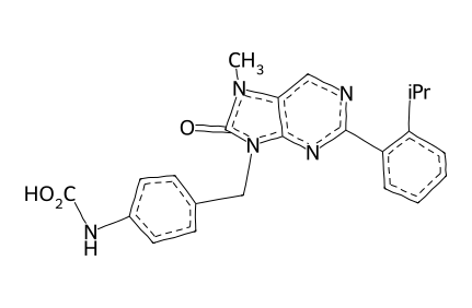 CC(C)c1ccccc1-c1ncc2c(n1)n(Cc1ccc(NC(=O)O)cc1)c(=O)n2C